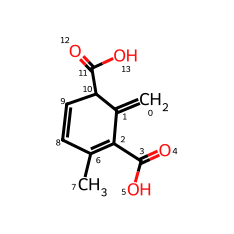 C=C1C(C(=O)O)=C(C)C=CC1C(=O)O